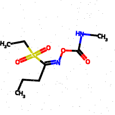 CCCC(=NOC(=O)NC)S(=O)(=O)CC